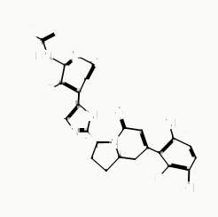 Nc1ccc(Cl)c(F)c1C1=CC(=O)N2C(CC[C@H]2c2ncc(-c3ccnc(NC(=O)O)c3F)[nH]2)C1